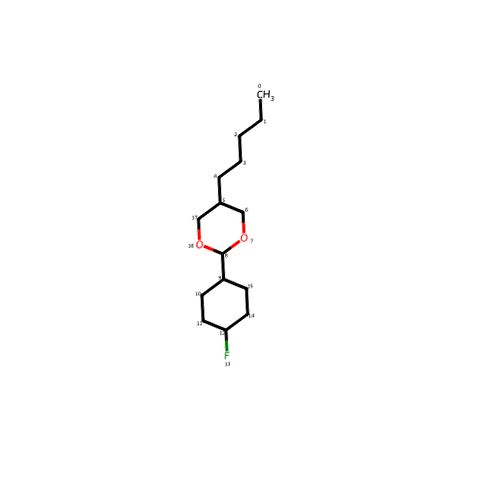 CCCCCC1COC(C2CCC(F)CC2)OC1